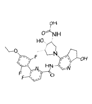 CCOc1cc(F)c(-c2nc(C(=O)Nc3cnc4c(c3N3C[C@H](C)[C@H](O)[C@H](NC(=O)O)C3)CCC4O)ccc2F)c(F)c1